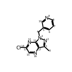 Cc1nn(Cc2cccnc2)c2nc(Cl)cnc12